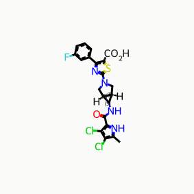 Cc1[nH]c(C(=O)N[C@H]2[C@@H]3CN(c4nc(-c5cccc(F)c5)c(C(=O)O)s4)C[C@@H]32)c(Cl)c1Cl